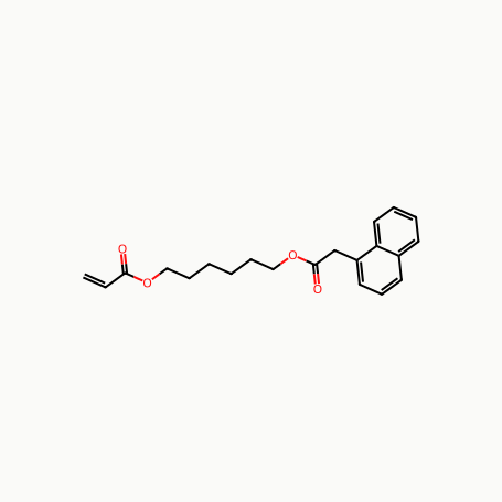 C=CC(=O)OCCCCCCOC(=O)Cc1cccc2ccccc12